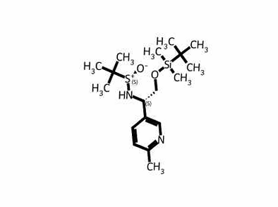 Cc1ccc([C@@H](CO[Si](C)(C)C(C)(C)C)N[S@+]([O-])C(C)(C)C)cn1